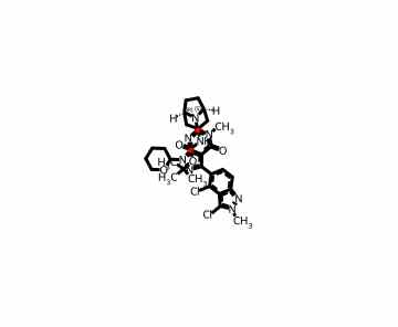 Cn1nc2ccc(-c3nn(C4CCCCO4)c4nc(N5[C@@H]6CC[C@H]5C[C@@H](NC(=O)OC(C)(C)C)C6)n(C)c(=O)c34)c(Cl)c2c1Cl